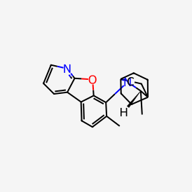 Cc1ccc2c(oc3ncccc32)c1N1[C@@H](C)C23CCC1(CC2)CC3